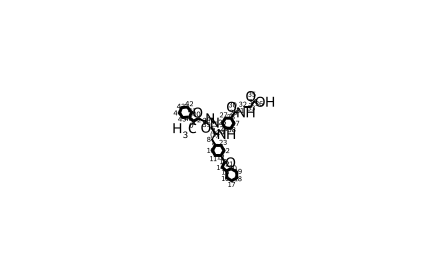 Cc1c(-c2nnc([C@H](Cc3ccc(-c4cc5ccccc5o4)cc3)Nc3ccc(C(=O)NCCC(=O)O)cc3)o2)oc2ccccc12